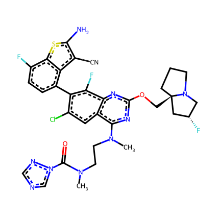 CN(CCN(C)c1nc(OC[C@@]23CCCN2C[C@H](F)C3)nc2c(F)c(-c3ccc(F)c4sc(N)c(C#N)c34)c(Cl)cc12)C(=O)n1cncn1